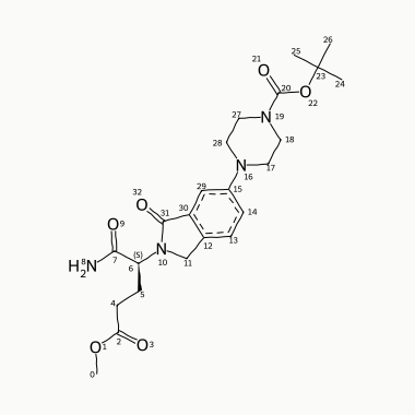 COC(=O)CC[C@@H](C(N)=O)N1Cc2ccc(N3CCN(C(=O)OC(C)(C)C)CC3)cc2C1=O